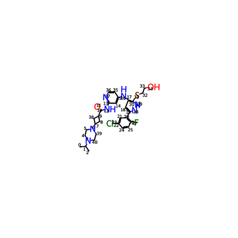 CC(C)N1CCN(C2CC(C(=O)Nc3cc(Nc4cc(-c5cc(Cl)ccc5F)nnc4SCCO)ccn3)C2)CC1